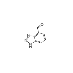 O=Cc1cccc2[nH]nnc12